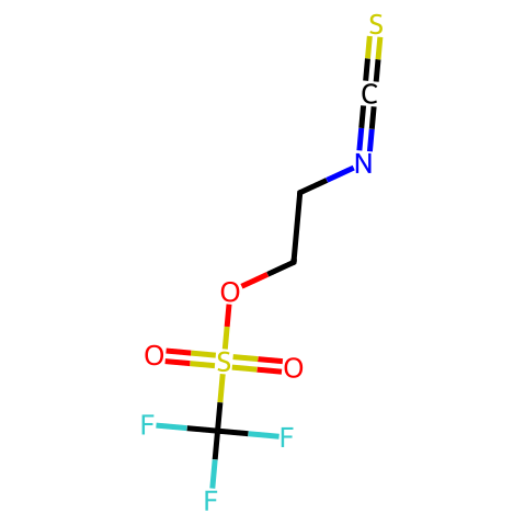 O=S(=O)(OCCN=C=S)C(F)(F)F